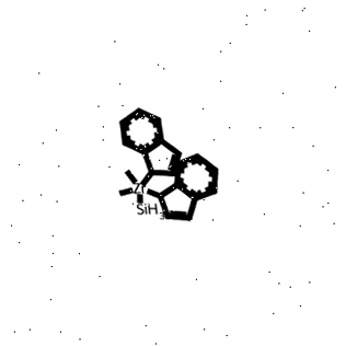 [CH3][Zr]([CH3])([SiH3])([CH]1C=Cc2ccccc21)[CH]1C=Cc2ccccc21